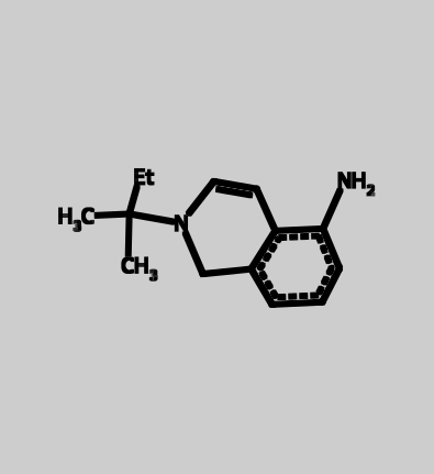 CCC(C)(C)N1C=Cc2c(N)cccc2C1